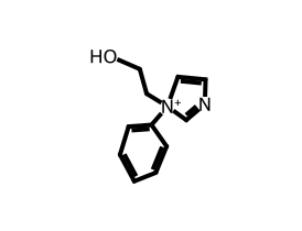 OCC[N+]1(c2ccccc2)C=CN=C1